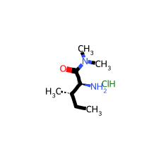 CC[C@H](C)[C@H](N)C(=O)N(C)C.Cl